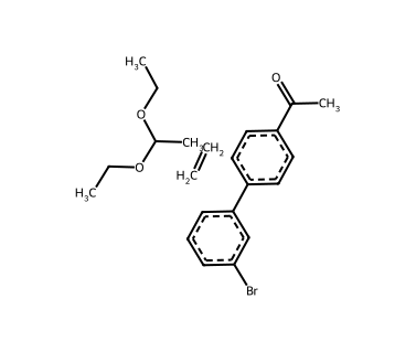 C=C.CC(=O)c1ccc(-c2cccc(Br)c2)cc1.CCOC(C)OCC